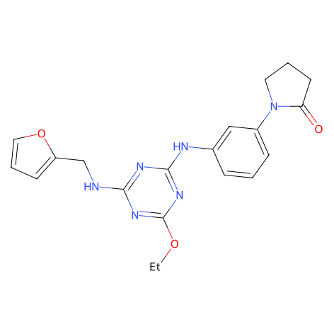 CCOc1nc(NCc2ccco2)nc(Nc2cccc(N3CCCC3=O)c2)n1